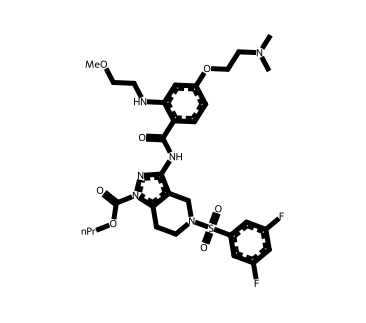 CCCOC(=O)n1nc(NC(=O)c2ccc(OCCN(C)C)cc2NCCOC)c2c1CCN(S(=O)(=O)c1cc(F)cc(F)c1)C2